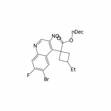 CCCCCCCCCCOC(=O)C1(c2c([N+](=O)[O-])cnc3cc(F)c(Br)cc23)CC(CC)C1